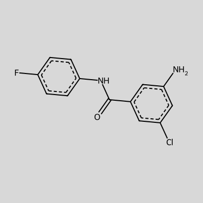 Nc1cc(Cl)cc(C(=O)Nc2ccc(F)cc2)c1